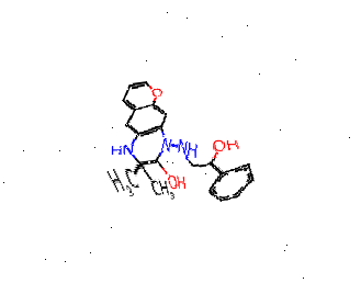 CC1(C)NC2=C(C=C3OC=CC=C3C2)N(NCC(O)c2ccccc2)C1O